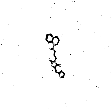 O=C1S/C(=C/c2cccs2)C(=O)N1CCCC(=O)N1CCCc2ccccc21